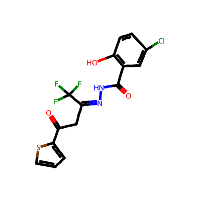 O=C(CC(=NNC(=O)c1cc(Cl)ccc1O)C(F)(F)F)c1cccs1